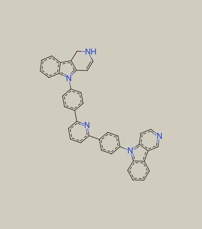 C1=Cc2c(c3ccccc3n2-c2ccc(-c3cccc(-c4ccc(-n5c6ccccc6c6cnccc65)cc4)n3)cc2)CN1